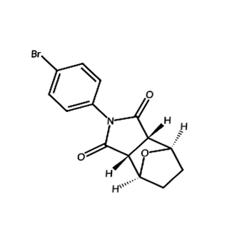 O=C1[C@@H]2[C@H](C(=O)N1c1ccc(Br)cc1)[C@H]1CC[C@@H]2O1